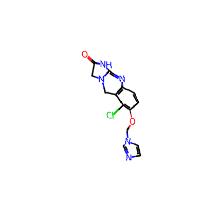 O=C1CN2Cc3c(ccc(OCn4ccnc4)c3Cl)N=C2N1